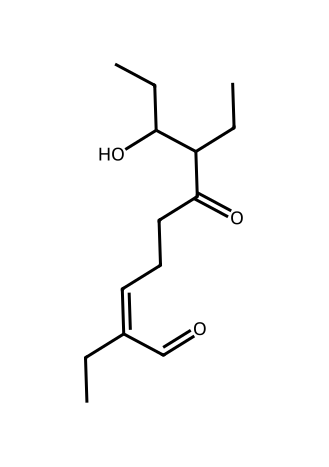 CCC(C=O)=CCCC(=O)C(CC)C(O)CC